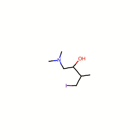 CC(CI)C(O)CN(C)C